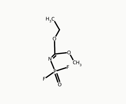 CCOC(=NP(=O)(F)F)OC